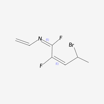 C=C/N=C(F)\C(F)=C/C(C)Br